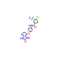 O=C(Nc1ccc(Oc2ccnc3[nH]c(=O)[nH]c23)cc1)c1ccc(Cl)c(C(F)(F)F)c1